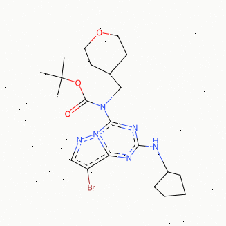 CC(C)(C)OC(=O)N(CC1CCOCC1)c1nc(NC2CCCC2)nc2c(Br)cnn12